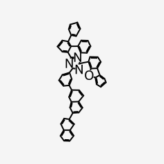 c1ccc(-c2cccc(-c3nc(-c4cccc(-c5ccc6ccc(-c7ccc8ccccc8c7)cc6c5)c4)nc(-c4cccc5c4oc4ccccc45)n3)c2-c2ccccc2)cc1